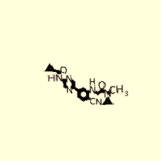 CN(C(=O)CNc1cc(-c2cnc(NC(=O)C3CC3)cn2)ccc1C#N)C1CC1